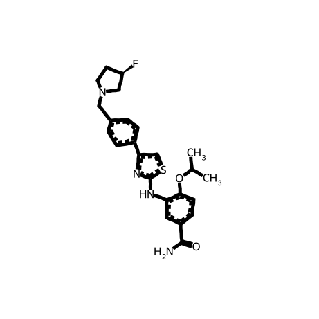 CC(C)Oc1ccc(C(N)=O)cc1Nc1nc(-c2ccc(CN3CC[C@@H](F)C3)cc2)cs1